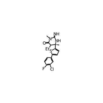 CCC1C(=O)N(C)C(=N)N[C@]1(C)c1ccc(-c2ccc(F)c(Cl)c2)s1